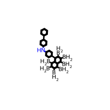 Bc1c(B)c(B)c2c(-c3ccc(Nc4ccc(-c5ccccc5)cc4)cc3)c(B)c(B)c(B)c2c1B